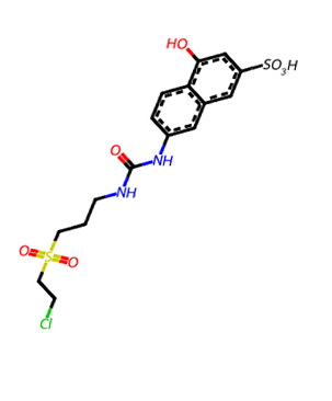 O=C(NCCCS(=O)(=O)CCCl)Nc1ccc2c(O)cc(S(=O)(=O)O)cc2c1